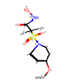 CCCCCCOC1CCN(S(=O)(=O)C(CCC)(CCC)C(=O)NO)CC1